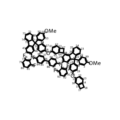 COc1ccc(C2(c3ccc(Oc4ccc5c(c4)CC5)cc3)c3ccccc3-c3ccc(N(c4ccc(-c5ccc(N(c6ccc7c(c6)C(c6ccc(OC)cc6)(c6ccc(Oc8ccc9c(c8)CC9)cc6)c6ccccc6-7)c6c(F)cccc6F)cc5)cc4)c4c(F)cccc4F)cc32)cc1